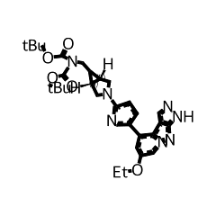 CCOc1cc(-c2ccc(N3C[C@@H]4C(CN(C(=O)OC(C)(C)C)C(=O)OC(C)(C)C)[C@@H]4C3)nc2)c2c3cn[nH]c3nn2c1